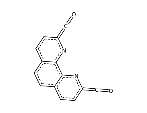 O=C=c1ccc2ccc3ccc(=C=O)nc3c2n1